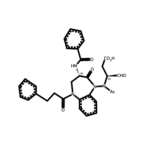 CC(=O)N([C@H](C=O)CC(=O)O)N1C(=O)[C@@H](NC(=O)c2ccccc2)CN(C(=O)CCc2ccccc2)c2ccccc21